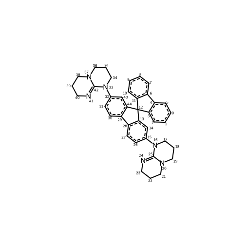 c1ccc2c(c1)-c1ccccc1C21c2cc(N3CCCN4CCCN=C43)ccc2-c2ccc(N3CCCN4CCCN=C43)cc21